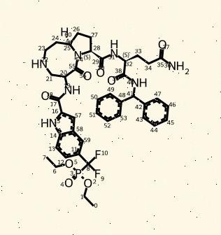 CCOP(=O)(OCC)C(F)(F)c1ccc2[nH]c(C(=O)NC3CNCC[C@H]4CC[C@@H](C(=O)N[C@@H](CCC(N)=O)C(=O)NC(c5ccccc5)c5ccccc5)N4C3=O)cc2c1